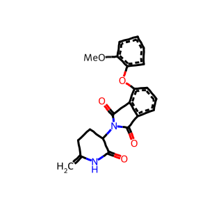 C=C1CCC(N2C(=O)c3cccc(Oc4ccccc4OC)c3C2=O)C(=O)N1